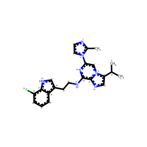 Cc1nccn1-c1cn2c(C(C)C)cnc2c(NCCc2c[nH]c3c(F)cccc23)n1